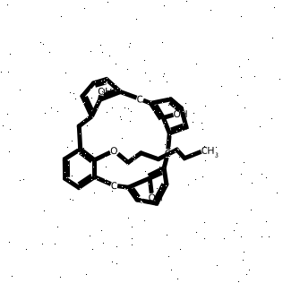 CCCCCCOc1c2cccc1Cc1cccc(c1O)Cc1cccc(c1O)Cc1cccc(c1O)C2